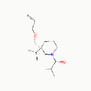 C=CCOC[C@]1(C(C)C)CCCN(C(=O)C(C)C)C1